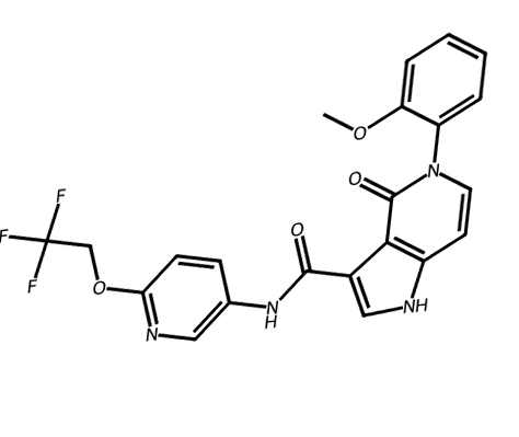 COc1ccccc1-n1ccc2[nH]cc(C(=O)Nc3ccc(OCC(F)(F)F)nc3)c2c1=O